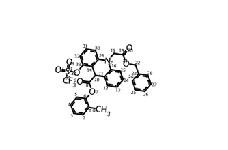 Cc1ccccc1OC(=O)C1c2ccccc2N(CC(=O)OCc2ccccc2)c2cccc(OS(=O)(=O)C(F)(F)F)c21